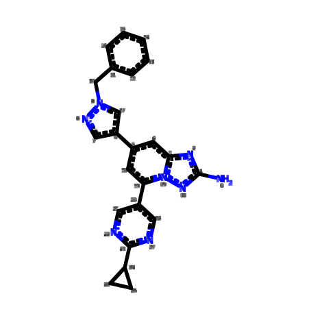 Nc1nc2cc(-c3cnn(Cc4ccccc4)c3)cc(-c3cnc(C4CC4)nc3)n2n1